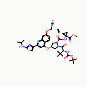 [C-]#[N+]COc1ccc2c(O[C@@H]3C[C@@H](C(=O)N[C@]4(C(=O)OC)C[C@H]4C=C)N(C(=O)[C@@H](NC(=O)OC(C)(C)C)C(C)(C)C)C3)cc(-c3csc(NC(C)C)n3)nc2c1